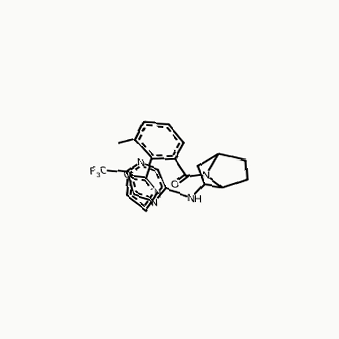 Cc1cccc(C(=O)N2C3CCC2C(Nc2cnc(C(F)(F)F)cn2)C3)c1-c1ncco1